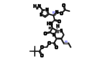 C/C=C/C1=C(C(=O)OCOC(=O)C(C)(C)C)N2C(=O)[C@@H](NC(=O)/C(=N\OC(C)=O)c3csc(N)n3)[C@H]2SC1